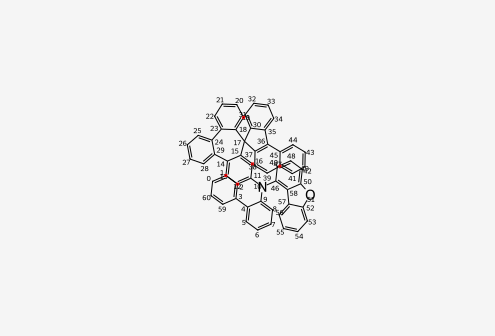 c1ccc(-c2ccccc2N(c2ccc3c(c2)C2(c4ccccc4-c4ccccc4-3)c3ccccc3-c3c2ccc2ccccc32)c2cccc3oc4ccccc4c23)cc1